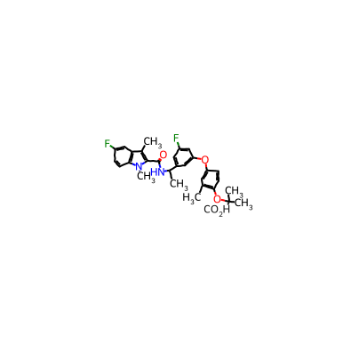 Cc1cc(Oc2cc(F)cc(C(C)NC(=O)c3c(C)c4cc(F)ccc4n3C)c2)ccc1OC(C)(C)C(=O)O